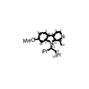 COc1ccc2c3ccnc(C)c3n(C(CC(C)C)C(C)C)c2c1